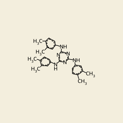 Cc1ccc(Nc2nc(Nc3ccc(C)c(C)c3)nc(Nc3ccc(C)c(C)c3)n2)cc1C